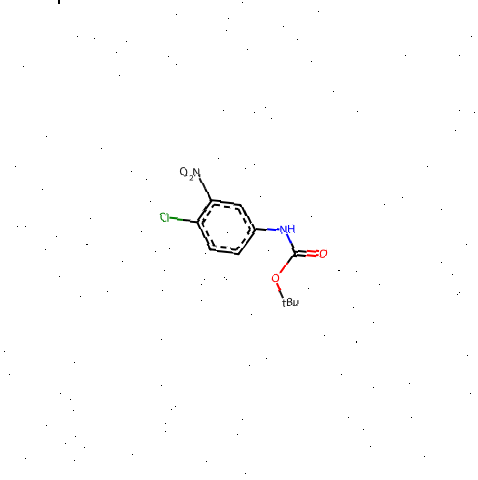 CC(C)(C)OC(=O)Nc1ccc(Cl)c([N+](=O)[O-])c1